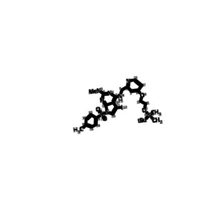 CNc1nc(NCc2cc(OCCO[Si](C)(C)C(C)(C)C)ccn2)c2c(I)cn(S(=O)(=O)c3ccc(C)cc3)c2n1